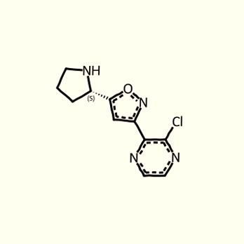 Clc1nccnc1-c1cc([C@@H]2CCCN2)on1